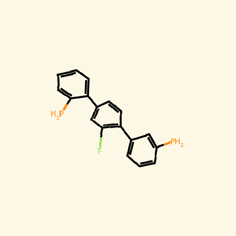 Fc1cc(-c2ccccc2P)ccc1-c1cccc(P)c1